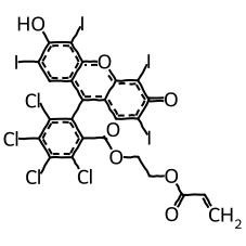 C=CC(=O)OCCOC(=O)c1c(Cl)c(Cl)c(Cl)c(Cl)c1-c1c2cc(I)c(=O)c(I)c-2oc2c(I)c(O)c(I)cc12